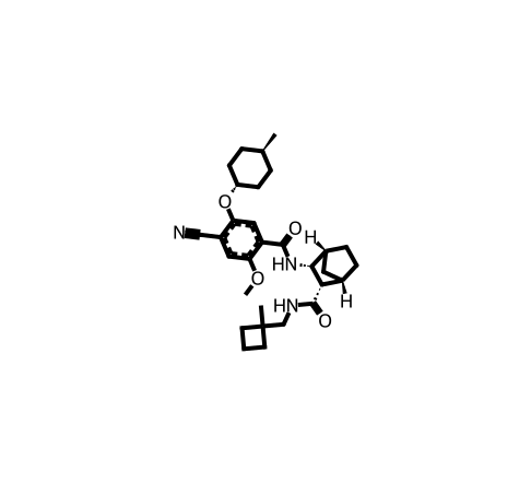 COc1cc(C#N)c(O[C@H]2CC[C@H](C)CC2)cc1C(=O)N[C@@H]1[C@@H]2CC[C@@H](C2)[C@@H]1C(=O)NCC1(C)CCC1